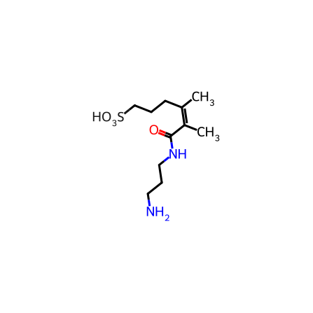 CC(CCCS(=O)(=O)O)=C(C)C(=O)NCCCN